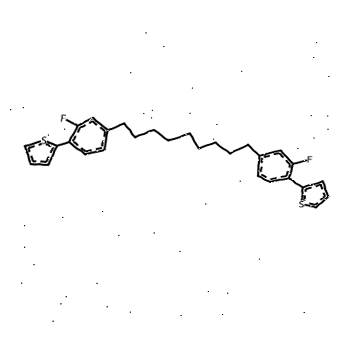 Fc1cc(CCCCCCCCCc2ccc(-c3cccs3)c(F)c2)ccc1-c1cccs1